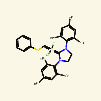 CCCc1cc(CCC)c(N2CCN(c3c(CCC)cc(CCC)cc3CCC)[C]2=[Ru]([Cl])([Cl])=[CH]Sc2ccccc2)c(CCC)c1